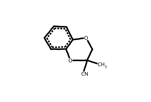 CC1(C#N)COc2ccccc2O1